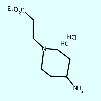 CCOC(=O)CCN1CCC(N)CC1.Cl.Cl